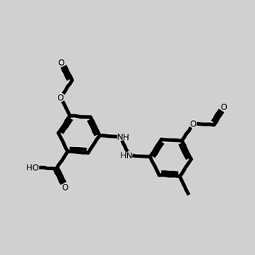 Cc1cc(NNc2cc(OC=O)cc(C(=O)O)c2)cc(OC=O)c1